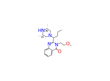 CCCC(c1nc2ccccc2c(=O)n1CCOC)N1C[C@@H](C)N[C@@H](C)C1